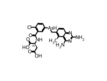 Cc1c(C[AsH]c2ccc(Cl)c(C(=O)N[C@@H](CC(=O)O)C(=O)O)c2)ccc2nc(N)nc(N)c12